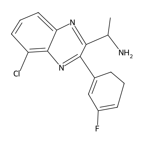 CC(N)c1nc2cccc(Cl)c2nc1C1=CC(F)=CCC1